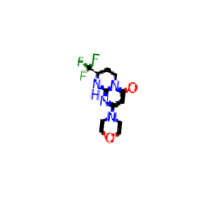 O=c1cc(N2CCOCC2)nc2n1CC[C@H](C(F)(F)F)N2